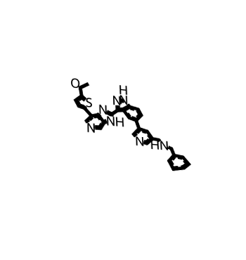 CC(=O)c1ccc(-c2cncc3[nH]c(-c4n[nH]c5ccc(-c6cncc(CNCc7ccccc7)c6)cc45)nc23)s1